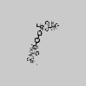 COC(=O)N[C@@H](C)C(=O)N1CCC[C@H]1c1nc(-c2ccc(-c3ccc(-c4nc([C@@H]5CCCN5C(=O)[C@H](C)OC(N)=O)[nH]c4C)cc3)cc2)c(C)[nH]1